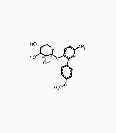 COc1ccc(-c2nc(C)ccc2O[C@@H]2SC[C@@H](O)[C@H](O)[C@H]2O)cc1